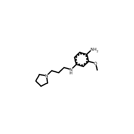 COc1cc(NCCCN2CCCC2)ccc1N